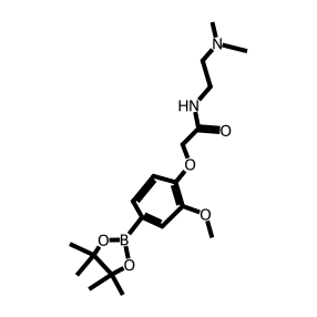 COc1cc(B2OC(C)(C)C(C)(C)O2)ccc1OCC(=O)NCCN(C)C